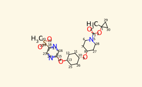 CC1(OC(=O)N2CCC(O[C@H]3CC[C@H](Oc4cnc(S(C)(=O)=O)cn4)CC3)CC2)CC1